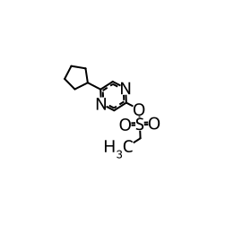 CCS(=O)(=O)Oc1cnc(C2CCCC2)cn1